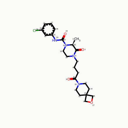 C[C@H]1C(=O)N(CCCC(=O)N2CCC3(CC2)COC3)CCN1C(=O)Nc1cccc(Cl)c1